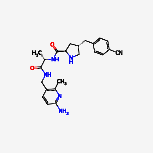 Cc1nc(N)ccc1CNC(=O)[C@H](C)NC(=O)[C@H]1C[C@H](Cc2ccc(C#N)cc2)CN1